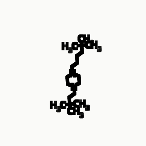 CC(C)(C)CCCCN1CCN(CCC(C)(C)C)CC1